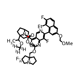 [2H]C([2H])([2H])OC(C)C12CCC(CN(c3nc(OC[C@@]45CCCN4C[C@H](F)C5)nc4c(F)c(-c5cc(OCOC)cc6ccc(F)c(CC)c56)ncc34)C1)N2C(=O)OC(C)(C)C